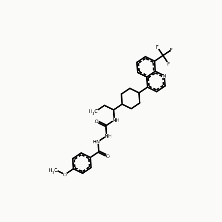 CCC(NC(=O)NNC(=O)c1ccc(OC)cc1)C1CCC(c2ccnc3c(C(F)(F)F)cccc23)CC1